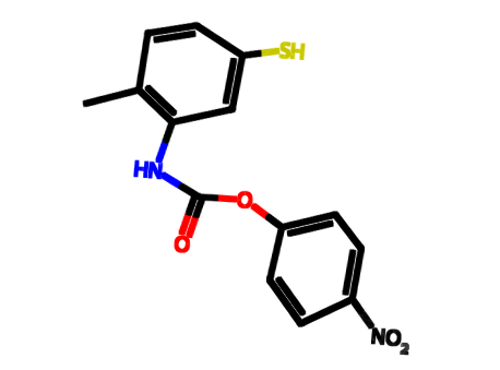 Cc1ccc(S)cc1NC(=O)Oc1ccc([N+](=O)[O-])cc1